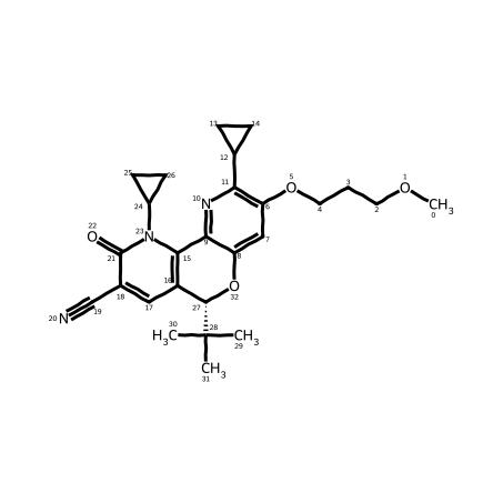 COCCCOc1cc2c(nc1C1CC1)-c1c(cc(C#N)c(=O)n1C1CC1)[C@@H](C(C)(C)C)O2